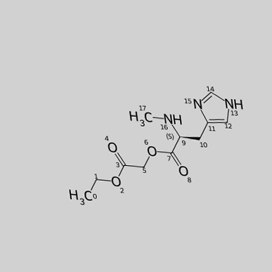 CCOC(=O)COC(=O)[C@H](Cc1c[nH]cn1)NC